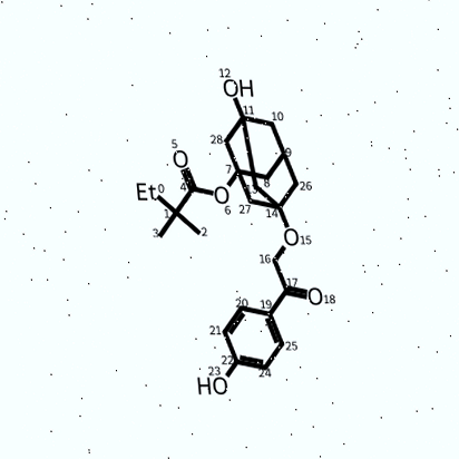 CCC(C)(C)C(=O)OC12CC3CC(O)(CC(OCC(=O)c4ccc(O)cc4)(C3)C1)C2